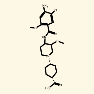 COc1cc(N)c(Cl)cc1C(=O)NC1CCN([C@H]2CC[C@@H](C(=O)O)CC2)CC1OC